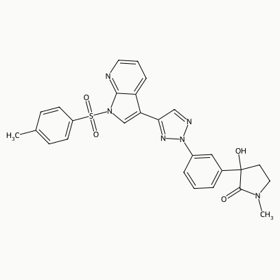 Cc1ccc(S(=O)(=O)n2cc(-c3cnn(-c4cccc(C5(O)CCN(C)C5=O)c4)n3)c3cccnc32)cc1